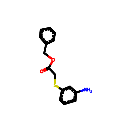 Nc1cccc(SCC(=O)OCc2ccccc2)c1